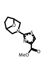 COC(=O)c1csc(N2CC3CCC(C2)O3)n1